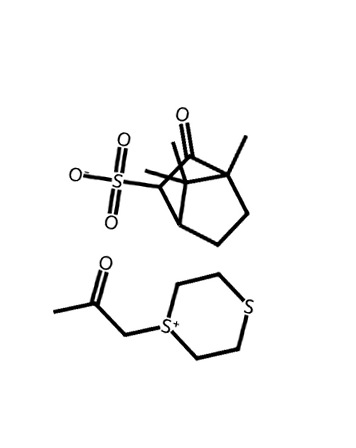 CC(=O)C[S+]1CCSCC1.CC12CCC(C(S(=O)(=O)[O-])C1=O)C2(C)C